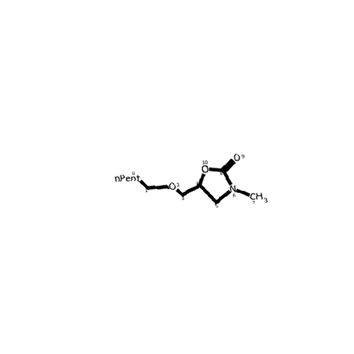 CCCCCCOCC1CN(C)C(=O)O1